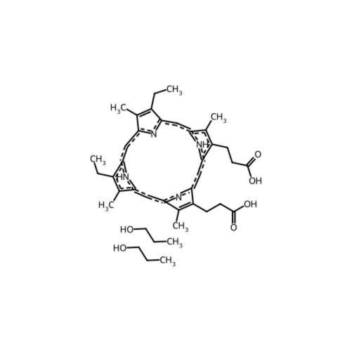 CCC1=C(C)c2cc3[nH]c(cc4nc(cc5[nH]c(cc1n2)c(C)c5CCC(=O)O)C(CCC(=O)O)=C4C)c(C)c3CC.CCCO.CCCO